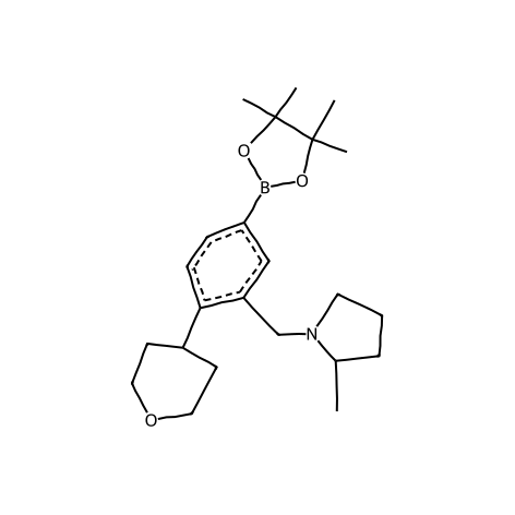 CC1CCCN1Cc1cc(B2OC(C)(C)C(C)(C)O2)ccc1C1CCOCC1